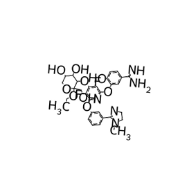 CCOC1(CO)OCC(O)C(O)C1Oc1c(F)c(Oc2cccc(C3=NCCN3C)c2)nc(Oc2cc(C(=N)N)ccc2O)c1F